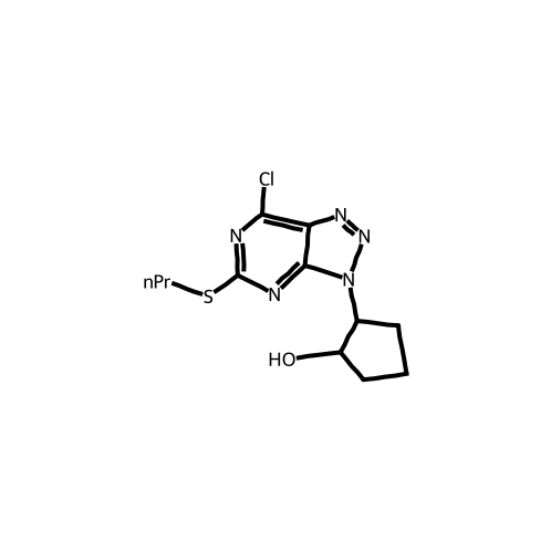 CCCSc1nc(Cl)c2nnn(C3CCCC3O)c2n1